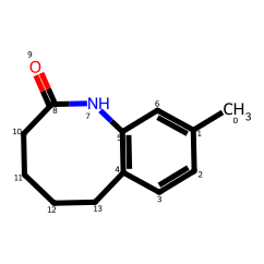 Cc1ccc2c(c1)NC(=O)CCCC2